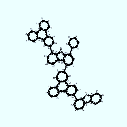 c1ccc(-c2ccc(-c3ccc4c5ccccc5c5cc(-c6cccc7c6sc6ccccc67)ccc5c4c3)c3c2sc2c(-c4ccc5c6ccccc6c6ccccc6c5c4)cccc23)cc1